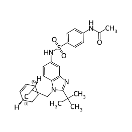 CC(=O)Nc1ccc(S(=O)(=O)Nc2ccc3c(c2)nc(C(C)(C)C)n3CC2C[C@H]3C=C[C@@H]2CC3)cc1